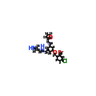 Clc1ccc(COc2cc(/C=C/c3ccco3)cc(CNCC3CNC3)c2)c(Br)c1